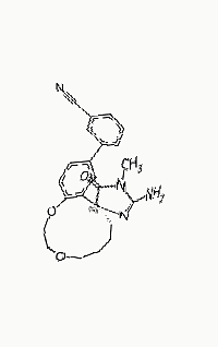 CN1C(=O)[C@@]2(CCCCOCCOc3ccc(-c4cccc(C#N)c4)cc32)N=C1N